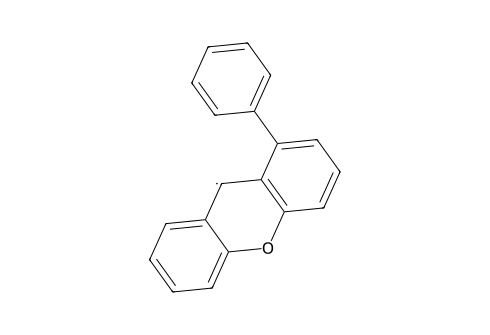 [CH]1c2ccccc2Oc2cccc(-c3ccccc3)c21